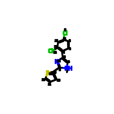 Clc1ccc(-c2c[nH]c(-c3cccs3)n2)c(Cl)c1